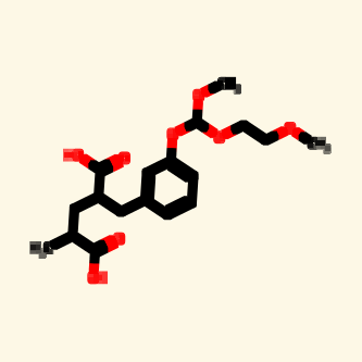 COCCOC(OC)Oc1cccc(CC(CC(C)C(=O)O)C(=O)O)c1